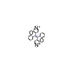 C[n+]1ccc2c(c1)Oc1ccccc1/C2=C1/c2ccccc2Oc2c[n+](C)ccc21